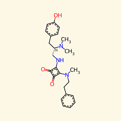 CN(CCc1ccccc1)c1c(NC[C@H](Cc2ccc(O)cc2)N(C)C)c(=O)c1=O